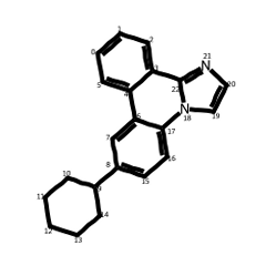 c1ccc2c(c1)c1cc(C3CCCCC3)ccc1n1ccnc21